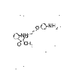 Cc1c(CCCCCOc2ccc(N)cc2)[nH]c2ccccc2c1=O